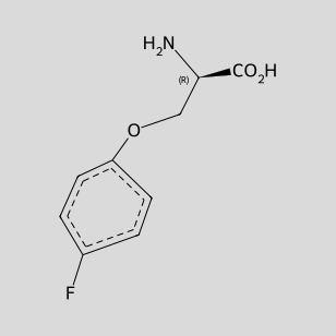 N[C@H](COc1ccc(F)cc1)C(=O)O